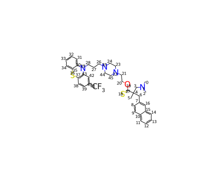 CN(C)CC(C)(Cc1ccc2ccccc2c1)C(=S)OCCN1CCN(CCCN2c3ccccc3Sc3ccc(C(F)(F)F)cc32)CC1